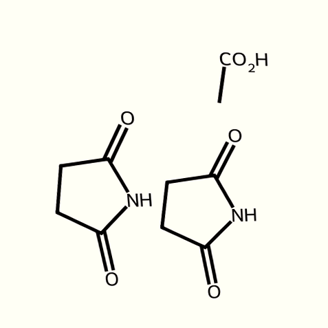 CC(=O)O.O=C1CCC(=O)N1.O=C1CCC(=O)N1